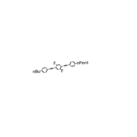 CCCCCc1ccc(C#Cc2cc(F)c(C#Cc3ccc(CCCC)cc3)cc2F)cc1